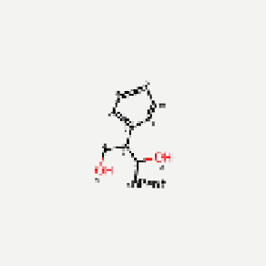 CCCCCC(O)C(CO)c1ccccc1